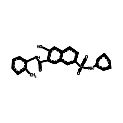 Cc1ccccc1NC(=O)c1cc2cc(S(=O)(=O)Nc3ccccc3)ccc2cc1O